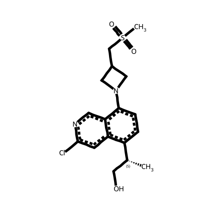 C[C@H](CO)c1ccc(N2CC(CS(C)(=O)=O)C2)c2cnc(Cl)cc12